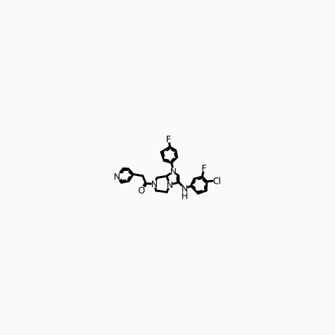 O=C(Cc1ccncc1)N1CCN2C(Nc3ccc(Cl)c(F)c3)=CN(c3ccc(F)cc3)C2C1